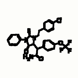 NC(=O)C(c1ccc(OC(F)(F)F)cc1)C1C(=O)N(c2ccccc2)C(=S)N1CCc1ccc(Cl)cc1